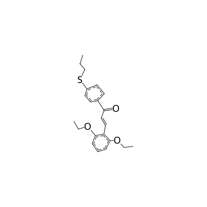 CCCSc1ccc(C(=O)/C=C/c2c(OCC)cccc2OCC)cc1